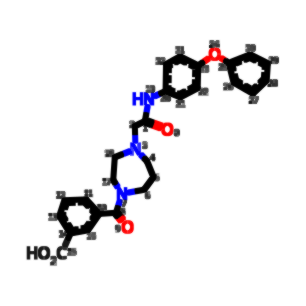 O=C(CN1CCCN(C(=O)c2cccc(C(=O)O)c2)CC1)Nc1ccc(Oc2ccccc2)cc1